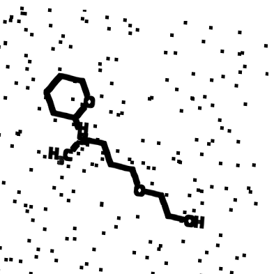 C[SiH](CCCOCCO)C1CCCCO1